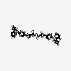 O=C(ONC(=O)c1cnc(-c2cnc(NCC3(c4ccccn4)CCC3)nc2)s1)c1csc(-c2cnc(NCC3(c4ncccc4F)CCC3)nc2)n1